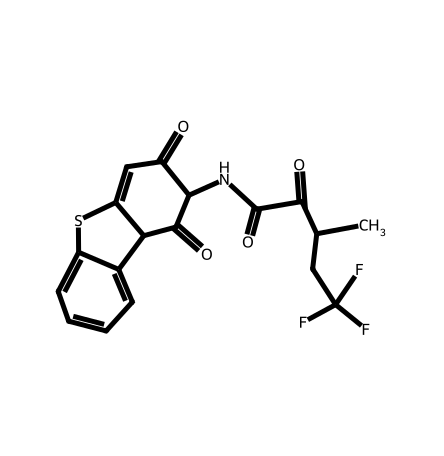 CC(CC(F)(F)F)C(=O)C(=O)NC1C(=O)C=C2Sc3ccccc3C2C1=O